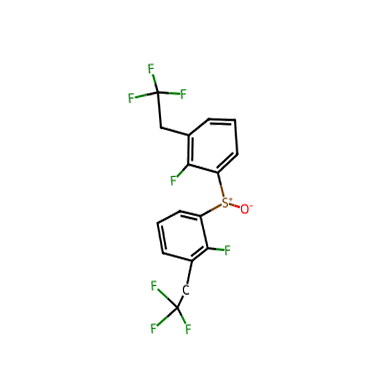 [O-][S+](c1cccc(CC(F)(F)F)c1F)c1cccc(CC(F)(F)F)c1F